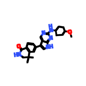 CO[C@H]1CC[C@@H](Nc2ncc3c(-c4ccc5c(c4)C(C)(C)CNC5=O)c[nH]c3n2)CC1